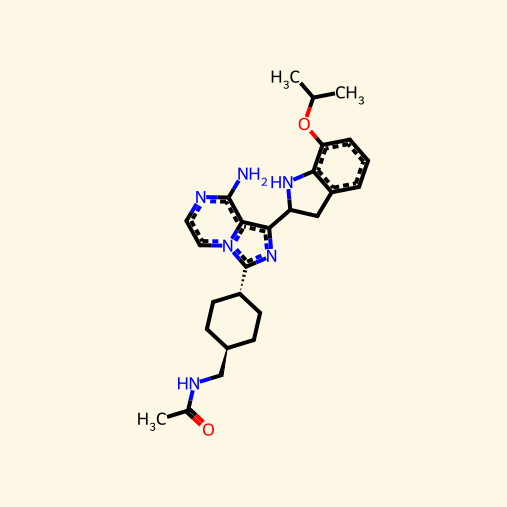 CC(=O)NC[C@H]1CC[C@H](c2nc(C3Cc4cccc(OC(C)C)c4N3)c3c(N)nccn32)CC1